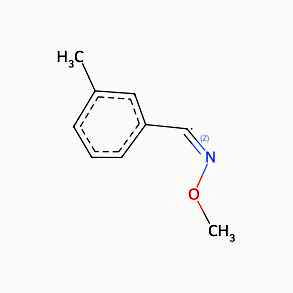 CO/N=[C]\c1cccc(C)c1